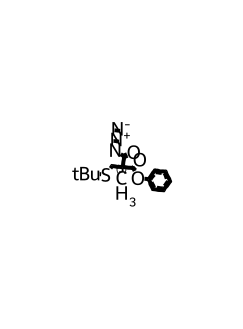 CC(C)(C)SC[C@@](C)(C(=O)N=[N+]=[N-])C(=O)Oc1ccccc1